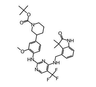 COc1cc(C2CCCN(C(=O)OC(C)(C)C)C2)ccc1Nc1ncc(C(F)(F)F)c(NCc2cccc3c2C(C)(C)C(=O)N3)n1